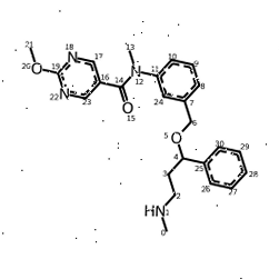 CNCCC(OCc1cccc(N(C)C(=O)c2cnc(OC)nc2)c1)c1ccccc1